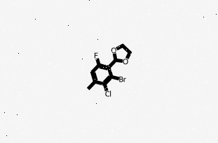 Cc1cc(F)c(C2OCCO2)c(Br)c1Cl